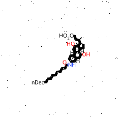 CCCCCCCCCCCCCCCCCCCC(=O)N[C@H]1CC[C@@]2(C)[C@@H](C1)C[C@@H](O)[C@@H]1[C@@H]2C[C@H](O)[C@]2(C)[C@@H]([C@H](C)CCC(=O)O)CC[C@@H]12